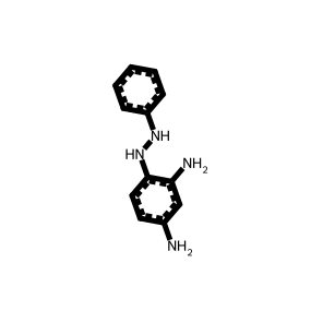 Nc1ccc(NNc2ccccc2)c(N)c1